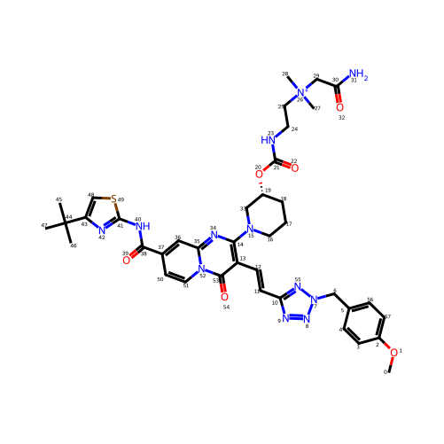 COc1ccc(Cn2nnc(C=Cc3c(N4CCC[C@@H](OC(=O)NCC[N+](C)(C)CC(N)=O)C4)nc4cc(C(=O)Nc5nc(C(C)(C)C)cs5)ccn4c3=O)n2)cc1